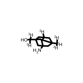 [2H]C12CC3(N)CC(C([2H])([2H])[2H])(C1)CC(C([2H])([2H])O)(C2)C3